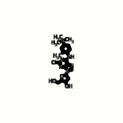 Cc1cc([Si](C)(C)C)ccc1Nc1nc(Cl)nc2c1ncn2C1CC(O)C(CO)O1